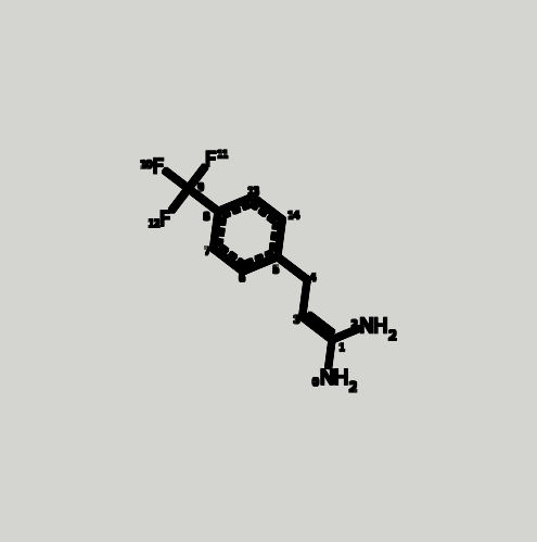 NC(N)=CCc1ccc(C(F)(F)F)cc1